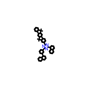 CC1(C)c2ccccc2-c2cc3c(cc21)-c1ccc(-c2nc(-c4cccc(-c5cccc6ccccc56)c4)nc(-c4cccc5ccccc45)n2)cc1C3(C)C